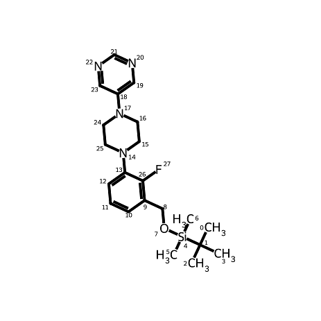 CC(C)(C)[Si](C)(C)OCc1cccc(N2CCN(c3cncnc3)CC2)c1F